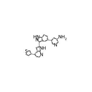 Nc1cncc(-c2ccc3[nH]nc(-c4cc5c(-c6ccsc6)ccnc5[nH]4)c3c2)c1